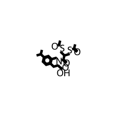 CC(=O)SCC(CSC(C)=O)C(=O)N1Cc2cc(C(C)C)ccc2CC1C(=O)O